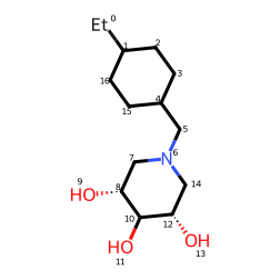 CCC1CCC(CN2C[C@@H](O)C(O)[C@@H](O)C2)CC1